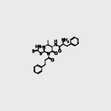 CC(C)[C@H](NC(=O)[C@@H](N)Cc1ccccc1)C(=O)N(C(=O)CCc1ccccc1)c1n[nH]c(=S)s1